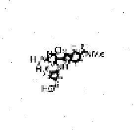 C=C(NC)c1ccc2oc(-c3c(Cl)nc(N)nc3N[C@@H]3C[C@H](CO)C[C@H]3C)cc2c1